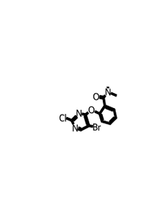 CN(C)C(=O)c1ccccc1Oc1nc(Cl)ncc1Br